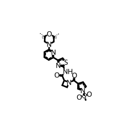 C[C@@H]1CN(c2cccc(-c3csc(NC(=O)C4CCN4C(=O)c4ccn(S(C)(=O)=O)c4)n3)n2)C[C@H](C)O1